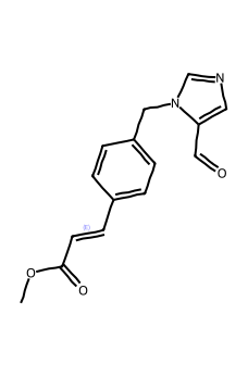 COC(=O)/C=C/c1ccc(Cn2cncc2C=O)cc1